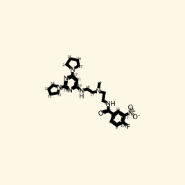 CN(CCNC(=O)c1ccc(F)c([N+](=O)[O-])c1)CCNc1cc(N2CCCC2)nc(N2CCCC2)n1